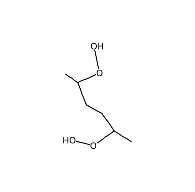 CC(CCC(C)OO)OO